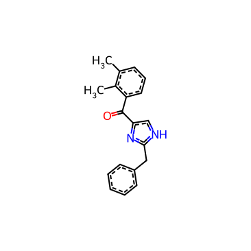 Cc1cccc(C(=O)c2c[nH]c(Cc3ccccc3)n2)c1C